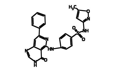 Cc1cc(NS(=O)(=O)c2ccc(Nc3nc(-c4ccccc4)cc4nc[nH]c(=O)c34)cc2)no1